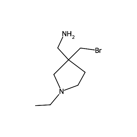 CCN1CCC(CN)(CBr)C1